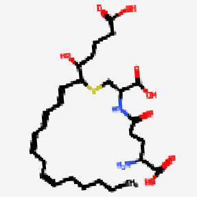 CCCCC/C=C\C\C=C/C=C/C=C/C(SC[C@H](NC(=O)CC[C@H](N)C(=O)O)C(=O)O)[C@@H](O)CCCC(=O)O